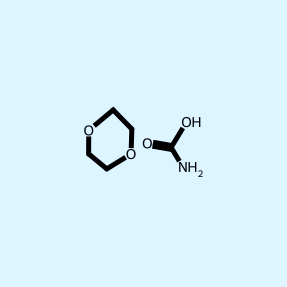 C1COCCO1.NC(=O)O